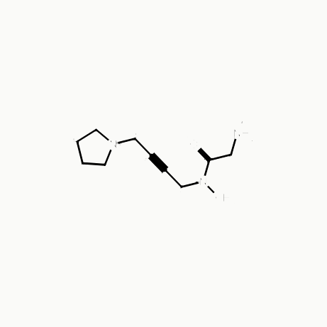 CN(CC#CCN1CCCC1)C(=O)CN